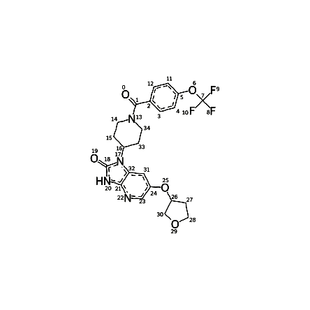 O=C(c1ccc(OC(F)(F)F)cc1)N1CCC(n2c(=O)[nH]c3ncc(OC4CCOC4)cc32)CC1